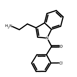 NCCc1cn(C(=O)c2ccccc2Cl)c2ccccc12